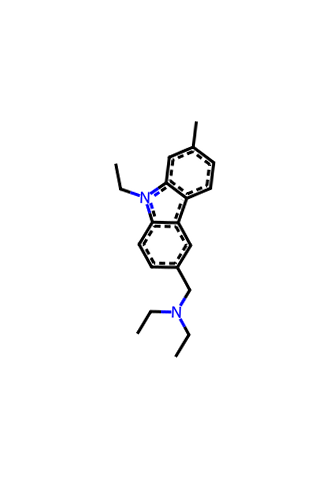 CCN(CC)Cc1ccc2c(c1)c1ccc(C)cc1n2CC